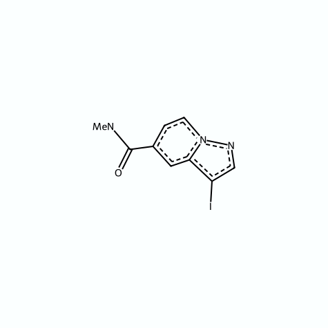 CNC(=O)c1ccn2ncc(I)c2c1